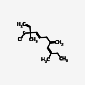 C=CC(C)(/C=C/CC(=C)/C=C(/C)CC)SCl